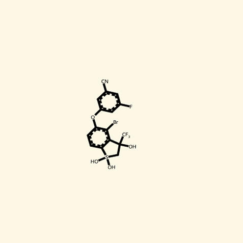 N#Cc1cc(F)cc(Oc2ccc3c(c2Br)C(O)(C(F)(F)F)CS3(O)O)c1